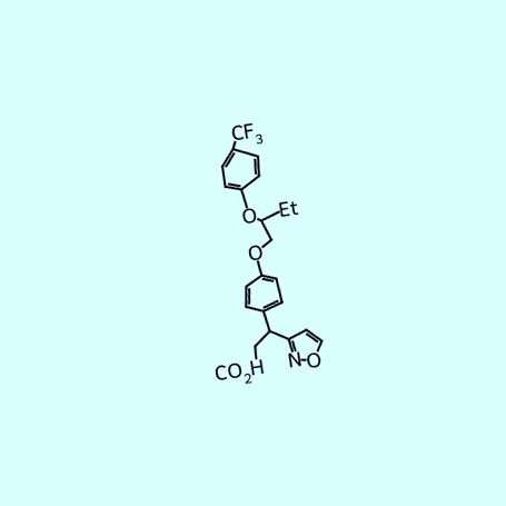 CCC(COc1ccc(C(CC(=O)O)c2ccon2)cc1)Oc1ccc(C(F)(F)F)cc1